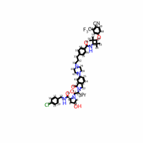 CC(C)[C@@H](C(=O)N1C[C@H](O)C[C@H]1C(=O)NCc1ccc(Cl)cc1)N1Cc2ccc(N3CCN(CCCc4ccc(C(=O)NC5C(C)(C)C(Oc6ccc(C#N)c(C(F)(F)F)c6)C5(C)C)cc4)CC3)cc2C1=O